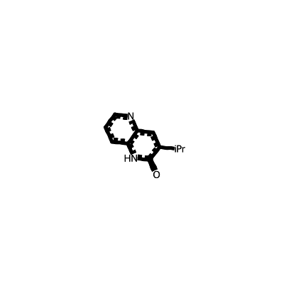 CC(C)c1cc2ncccc2[nH]c1=O